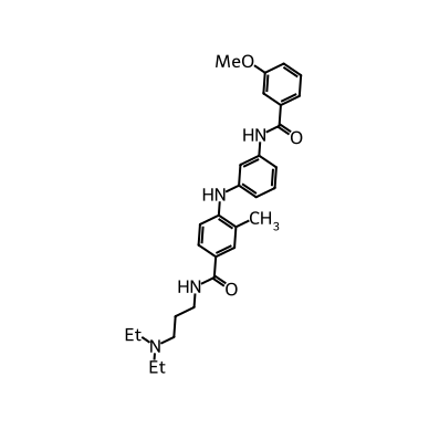 CCN(CC)CCCNC(=O)c1ccc(Nc2cccc(NC(=O)c3cccc(OC)c3)c2)c(C)c1